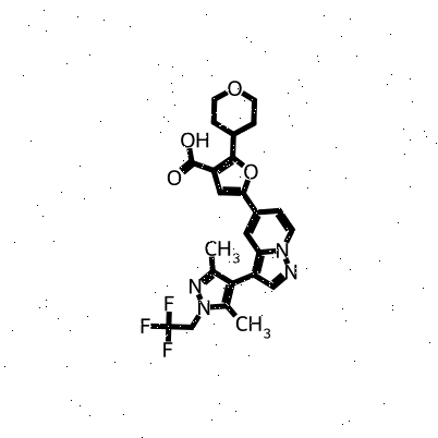 Cc1nn(CC(F)(F)F)c(C)c1-c1cnn2ccc(-c3cc(C(=O)O)c(C4CCOCC4)o3)cc12